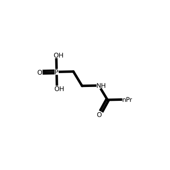 CCCC(=O)NCCP(=O)(O)O